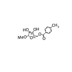 COC1O[C@H](COC(=O)c2ccc(C)cc2)[C@H](O)[C@H]1O